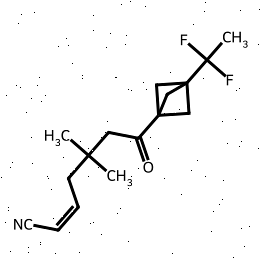 CC(C)(C/C=C\C#N)CC(=O)C12CC(C(C)(F)F)(C1)C2